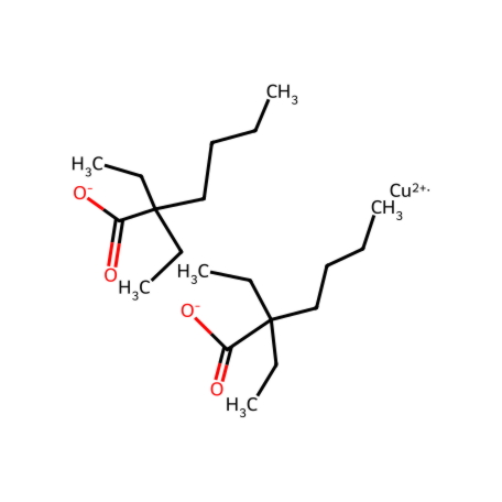 CCCCC(CC)(CC)C(=O)[O-].CCCCC(CC)(CC)C(=O)[O-].[Cu+2]